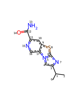 CC(C)c1cn2c(n1)sc1cc(C(N)=O)ncc12